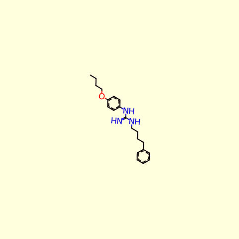 CCCCOc1ccc(NC(=N)NCCCCc2ccccc2)cc1